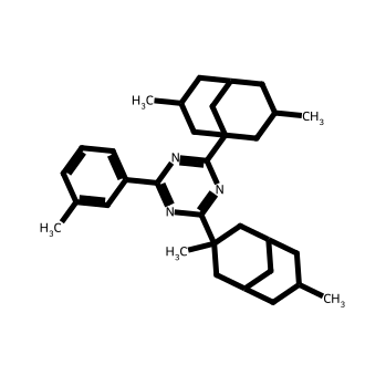 Cc1cccc(-c2nc(C3(C)CC4CC(C)CC(C4)C3)nc(C34CC(C)CC(CC(C)C3)C4)n2)c1